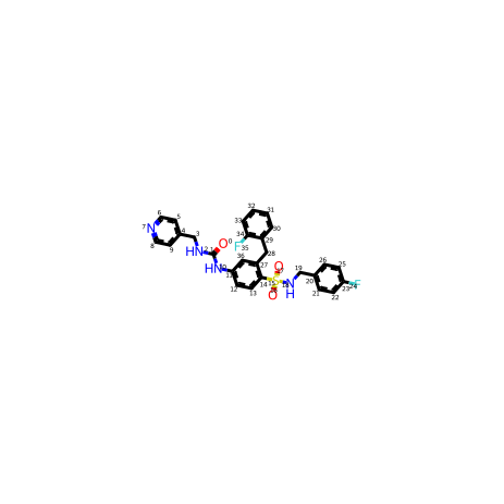 O=C(NCc1ccncc1)Nc1ccc(S(=O)(=O)NCc2ccc(F)cc2)c(Cc2ccccc2F)c1